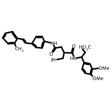 COc1ccc(C(CC(=O)O)NC(=O)C(CC(=O)Nc2ccc(C=Cc3ccccc3C)cc2)CC(C)C)cc1OC